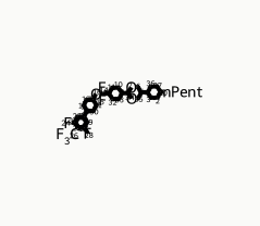 CCCCCC1CCC(C2COC(C3CCC(C(F)(F)OC4CCC(c5cc(F)c(C(F)(F)F)c(F)c5)CC4)CC3)OC2)CC1